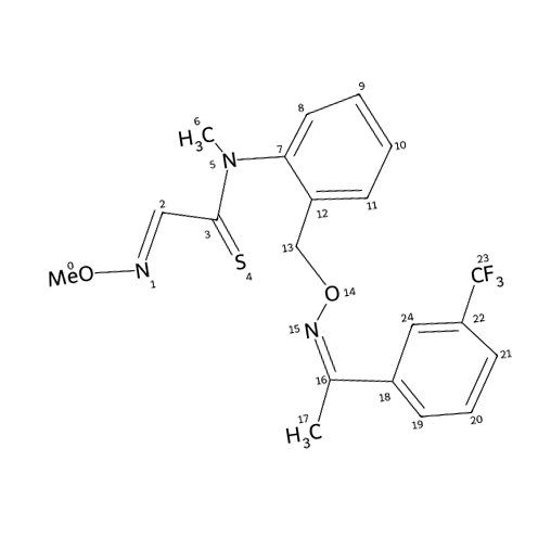 CON=CC(=S)N(C)c1ccccc1CON=C(C)c1cccc(C(F)(F)F)c1